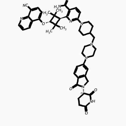 CC1(C)[C@H](Oc2ccc(C#N)c3ncccc23)C(C)(C)[C@H]1c1nc(N2CCC(CN3CCN(c4ccc5c(c4)CN([C@H]4CCC(=O)NC4=O)C5=O)CC3)CC2)ccc1C(N)=O